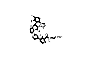 COCCNC(=O)c1nccc(-c2cnc([C@@H]3CC[C@@H]4CC(c5c(-n6cnnn6)ccc(Cl)c5F)=CC(=O)N43)[nH]2)c1F